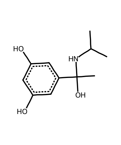 CC(C)NC(C)(O)c1cc(O)cc(O)c1